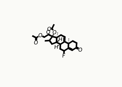 CC(=O)OCC(=O)[C@@]1(OC(C)=O)C(C)C[C@H]2[C@@H]3CC(F)C4=CC(=O)CC[C@]4(C)C3=CC[C@@]21C